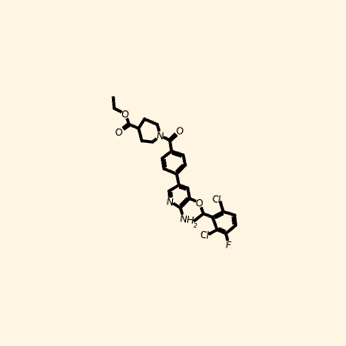 CCOC(=O)C1CCN(C(=O)c2ccc(-c3cnc(N)c(OC(C)c4c(Cl)ccc(F)c4Cl)c3)cc2)CC1